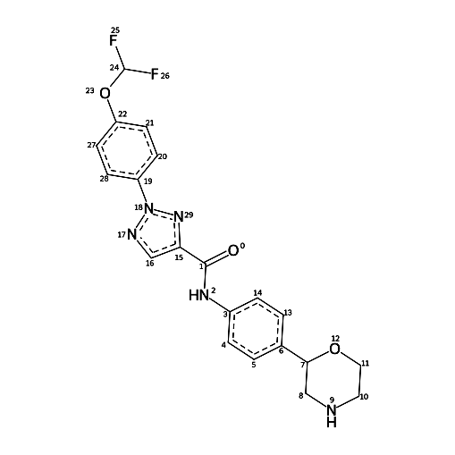 O=C(Nc1ccc(C2CNCCO2)cc1)c1cnn(-c2ccc(OC(F)F)cc2)n1